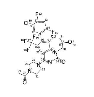 CO[C@@H]1CSc2c(-c3cc(Cl)c(F)cc3F)c(C(F)(F)F)cc3c(N4CCN(C(C)=O)CC4)nc(=O)n(c23)C1